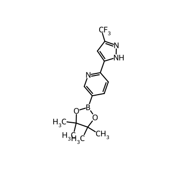 CC1(C)OB(c2ccc(-c3cc(C(F)(F)F)n[nH]3)nc2)OC1(C)C